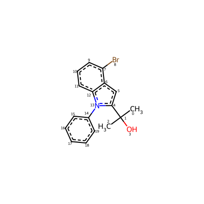 CC(C)(O)c1cc2c(Br)cccc2n1-c1ccccc1